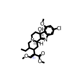 CCC1CN2CC[C@@]3(O)C(=Nc4cc(Cl)cc(OC)c43)[C@@H]2CC1/C(=C\OC)C(=O)OC